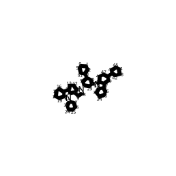 c1ccc(-c2cc(-n3ccc4c3ccc3c5ccccc5n(-c5ccccc5)c34)cc(-n3c4ccccc4c4cc(-c5ccccc5)ccc43)c2)cc1